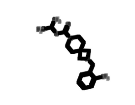 O=C(OC(C(F)(F)F)C(F)(F)F)N1CCC2(CC1)CN(Cc1ccccc1C(F)(F)F)C2